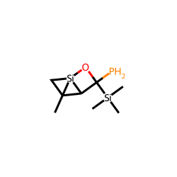 CC12C[Si]13OC(P)([Si](C)(C)C)C23